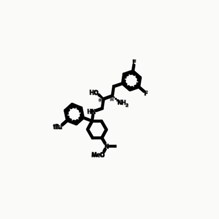 CON(C)C1CCC(NC[C@@H](O)[C@@H](N)Cc2cc(F)cc(F)c2)(c2cccc(C(C)(C)C)c2)CC1